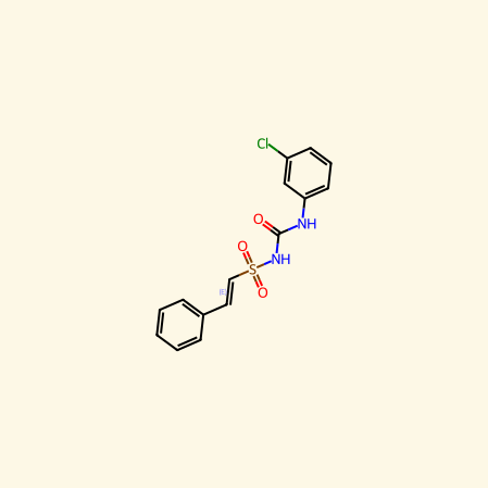 O=C(Nc1cccc(Cl)c1)NS(=O)(=O)/C=C/c1ccccc1